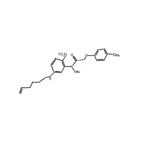 C=CCCCCNc1ccc(C(=O)OCC)c(N(CCCC)C(=O)COc2ccc(OC)cc2)c1